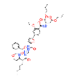 CCCCC[C@@H](C(=O)NCNC(=O)c1ccc(-c2ccc(C(=O)N[C@@H](CC(=O)OCCCC)C(=O)OCCCC)c(OCC)c2)o1)[C@@H](CC)N(C=O)OC(=O)c1ccccc1